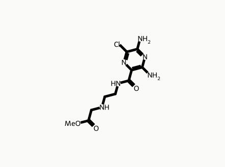 COC(=O)CNCCNC(=O)c1nc(Cl)c(N)nc1N